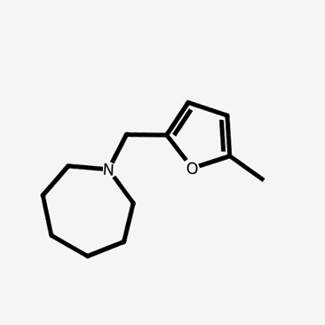 Cc1ccc(CN2CCCCCC2)o1